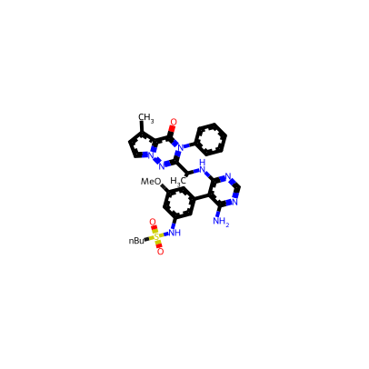 CCCCS(=O)(=O)Nc1cc(OC)cc(-c2c(N)ncnc2NC(C)c2nn3ccc(C)c3c(=O)n2-c2ccccc2)c1